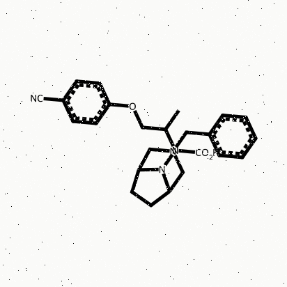 CC(COc1ccc(C#N)cc1)N(C(=O)O)N1C2CCC1CN(Cc1ccccc1)C2